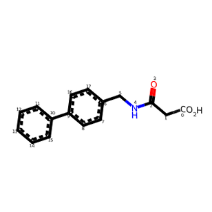 O=C(O)CC(=O)NCc1ccc(-c2ccccc2)cc1